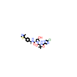 Cc1ncsc1-c1ccc([C@H](C)NC(=O)[C@@H]2C[C@@H](O)CN2C(=O)[C@@H](NC(=O)c2cnc(Cl)cn2)C(C)(C)C)cc1